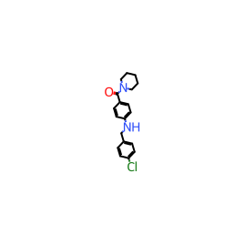 O=C(c1ccc(NCc2ccc(Cl)cc2)cc1)N1CCCCC1